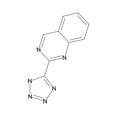 c1ccc2nc(C3=NN=N[N]3)ncc2c1